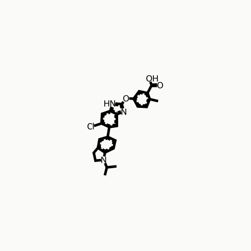 Cc1ccc(Oc2nc3cc(-c4ccc5c(c4)CCN5C(C)C)c(Cl)cc3[nH]2)cc1C(=O)O